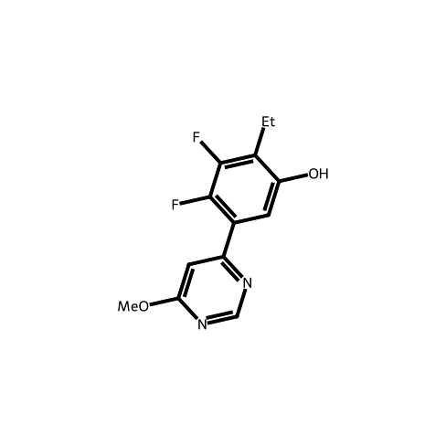 CCc1c(O)cc(-c2cc(OC)ncn2)c(F)c1F